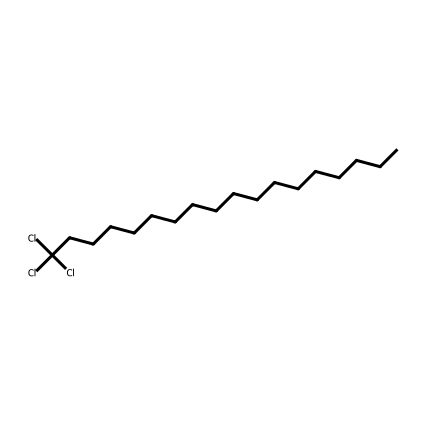 CCCCCCCCCCCCCCCCCC(Cl)(Cl)Cl